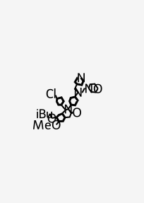 CCC(C)Oc1cc2c(cc1OC)CC(=O)N(c1ccc(N(CCN3CCOCC3)Cc3ccncc3)cc1)C2c1ccc(Cl)cc1